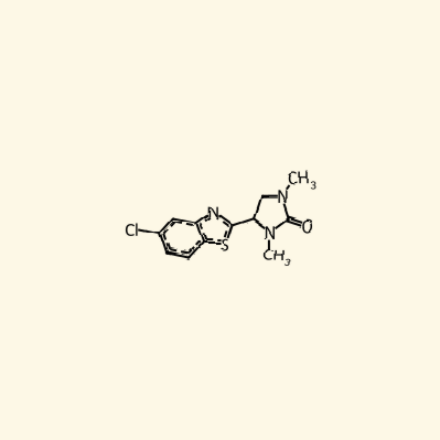 CN1CC(c2nc3cc(Cl)ccc3s2)N(C)C1=O